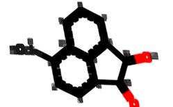 CCCCCCCCc1ccc2c3c(cccc13)C(=O)C2=O